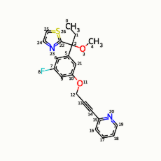 CCC(OC)(c1cc(F)cc(OCC#Cc2ccccn2)c1)c1nccs1